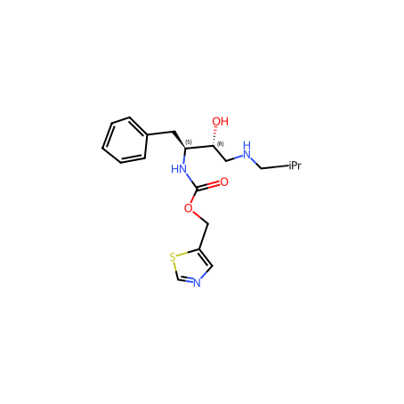 CC(C)CNC[C@@H](O)[C@H](Cc1ccccc1)NC(=O)OCc1cncs1